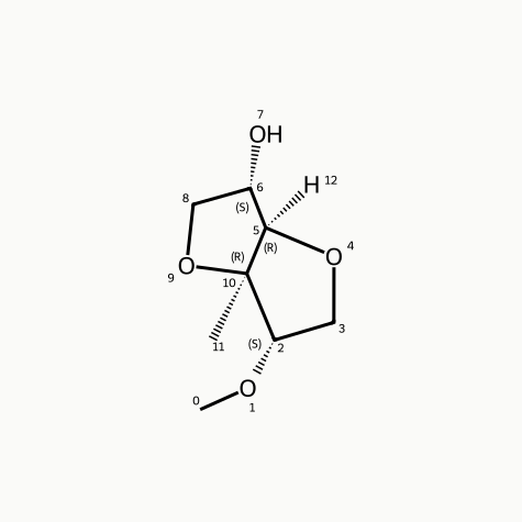 CO[C@H]1CO[C@@H]2[C@@H](O)CO[C@]12C